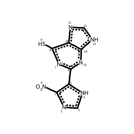 O=[N+]([O-])c1nc[nH]c1-c1nc(S)c2nc[nH]c2n1